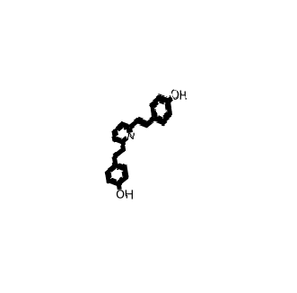 Oc1ccc(C=Cc2cccc(C=Cc3ccc(O)cc3)n2)cc1